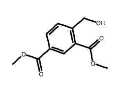 COC(=O)c1ccc(CO)c(C(=O)OC)c1